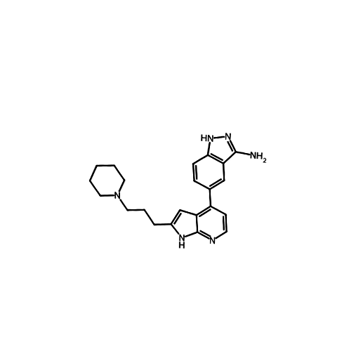 Nc1n[nH]c2ccc(-c3ccnc4[nH]c(CCCN5CCCCC5)cc34)cc12